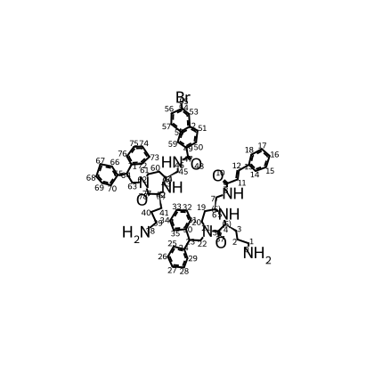 NCCC[C@@H]1N[C@H](CNC(=O)C=Cc2ccccc2)CCN(CC(c2ccccc2)c2ccccc2)C1=O.NCCC[C@@H]1N[C@H](CNC(=O)c2ccc3cc(Br)ccc3c2)CCN(CC(c2ccccc2)c2ccccc2)C1=O